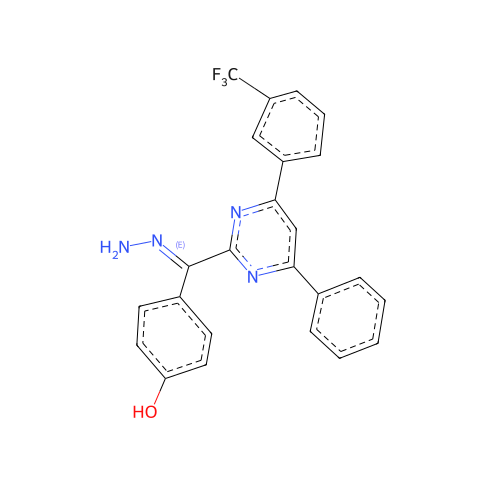 N/N=C(\c1ccc(O)cc1)c1nc(-c2ccccc2)cc(-c2cccc(C(F)(F)F)c2)n1